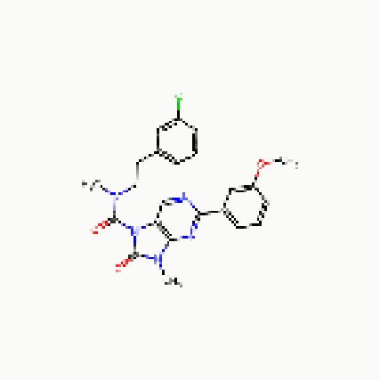 COc1cccc(-c2ncc3c(n2)n(C)c(=O)n3C(=O)N(C)CCc2cccc(Cl)c2)c1